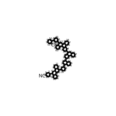 N#Cc1ccc(-c2cc3c4ccccc4c(-c4cccc(-c5ccc(-c6ccc7c(-c8ccc9c(c8)c8ccccc8c8cc(-c%10cccc(-c%11ccccc%11C#N)c%10)c%10ccccc%10c98)cc8ccccc8c7c6)c6ccccc56)c4)cc3c3ccccc23)cc1